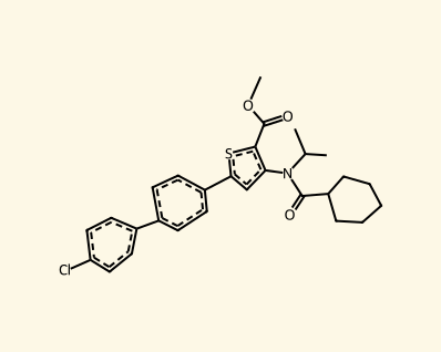 COC(=O)c1sc(-c2ccc(-c3ccc(Cl)cc3)cc2)cc1N(C(=O)C1CCCCC1)C(C)C